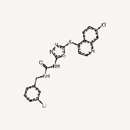 O=C(NCc1cccc(Cl)c1)Nc1nnc(Sc2ccnc3cc(Cl)ccc23)s1